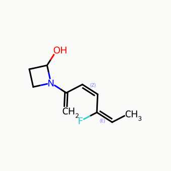 C=C(/C=C\C(F)=C/C)N1CCC1O